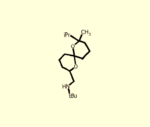 CC(C)C1(C)CCCC2(CCCC(CNC(C)(C)C)O2)O1